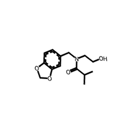 CC(C)C(=O)N(CCO)Cc1ccc2c(c1)OCO2